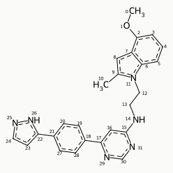 COc1cccc2c1cc(C)n2CCNc1cc(-c2ccc(-c3ccn[nH]3)cc2)ncn1